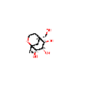 CC(C)(C)C12C[C@@](CO)(CCO1)[C@@H](O)[C@H](O)[C@H]2O